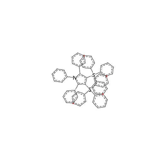 c1ccc(-c2c(S(c3ccccc3)(c3ccccc3)c3ccccc3)c(S(c3ccccc3)(c3ccccc3)c3ccccc3)c(-c3ccccc3)n2-c2ccccc2)cc1